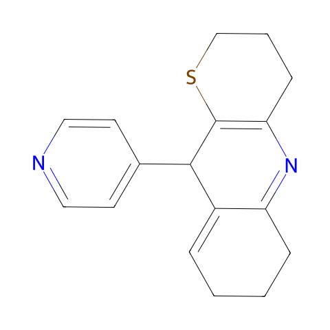 C1=C2C(=NC3=C(SCCC3)C2c2ccncc2)CCC1